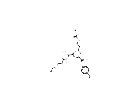 CCOCCOCCC(=O)N[C@@H](C)C(=O)N[C@@H](CCCCNC(=O)OC(C)(C)C)C(=O)Nc1ccc(CO)cc1